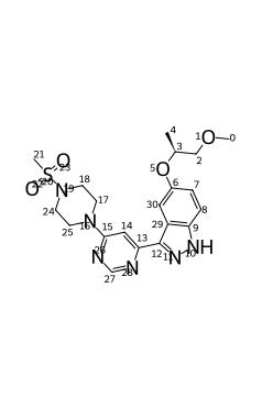 COC[C@H](C)Oc1ccc2[nH]nc(-c3cc(N4CCN(S(C)(=O)=O)CC4)ncn3)c2c1